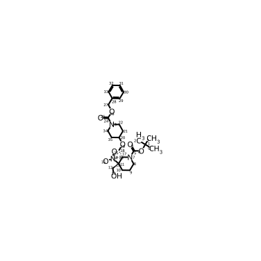 CC(C)(C)OC(=O)N1CCC[C@](CO)([N+](=O)[O-])[C@@H]1COC1CCN(C(=O)OCc2ccccc2)CC1